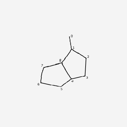 CC1CCC2CCCC12